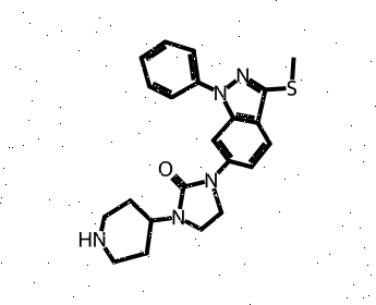 CSc1nn(-c2ccccc2)c2cc(N3CCN(C4CCNCC4)C3=O)ccc12